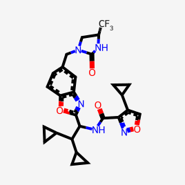 O=C(NC(c1nc2cc(CN3CC(C(F)(F)F)NC3=O)ccc2o1)C(C1CC1)C1CC1)c1nocc1C1CC1